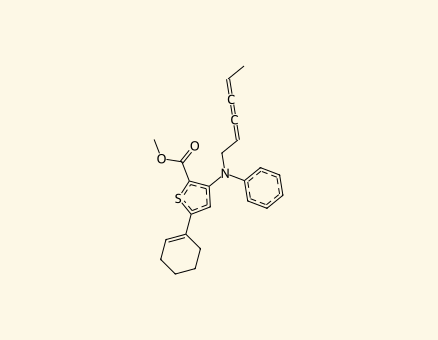 CC=C=C=CCN(c1ccccc1)c1cc(C2=CCCCC2)sc1C(=O)OC